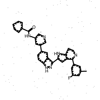 Cc1cc(F)cc(-c2nccc3[nH]c(-c4n[nH]c5ccc(-c6cncc(NC(=O)c7ccccc7)c6)cc45)cc23)c1